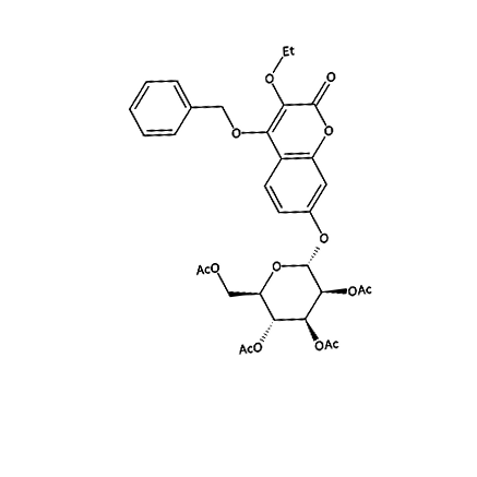 CCOc1c(OCc2ccccc2)c2ccc(O[C@H]3O[C@H](COC(C)=O)[C@@H](OC(C)=O)[C@H](OC(C)=O)[C@@H]3OC(C)=O)cc2oc1=O